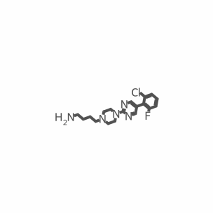 NCCCCN1CCN(c2ncc(-c3c(F)cccc3Cl)cn2)CC1